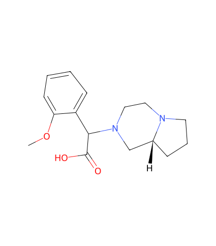 COc1ccccc1C(C(=O)O)N1CCN2CCC[C@@H]2C1